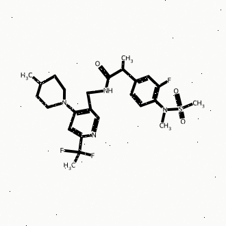 CC1CCN(c2cc(C(C)(F)F)ncc2CNC(=O)C(C)c2ccc(N(C)S(C)(=O)=O)c(F)c2)CC1